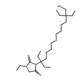 CCN1CC(=O)N(C(CC)(CC)CCCCOCCCCC(CC)(CC)CO)C1=O